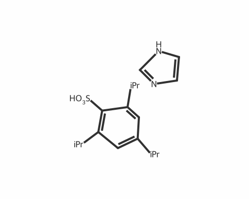 CC(C)c1cc(C(C)C)c(S(=O)(=O)O)c(C(C)C)c1.c1c[nH]cn1